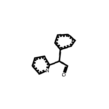 O=CC(c1ccccc1)c1ccccn1